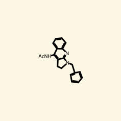 CC(=O)Nc1c2c(nc3ccccc13)N(Cc1ccccc1)CC2